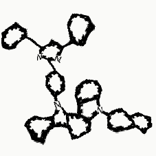 c1ccc(-c2cc(-c3ccccc3)nc(-c3ccc(-n4c5ccccc5c5ccc6c(c7ccccc7n6-c6ccc7ccccc7c6)c54)cc3)n2)cc1